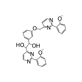 COc1ccccc1-c1nccc(COc2cccc(C(O)C(O)c3ccnc(-c4ccccc4OC)n3)c2)n1